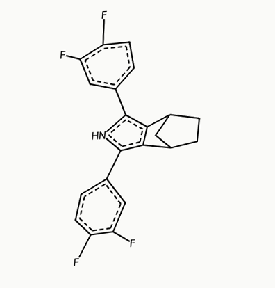 Fc1ccc(-c2[nH]c(-c3ccc(F)c(F)c3)c3c2C2CCC3C2)cc1F